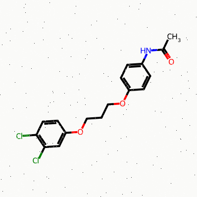 CC(=O)Nc1ccc(OCCCOc2ccc(Cl)c(Cl)c2)cc1